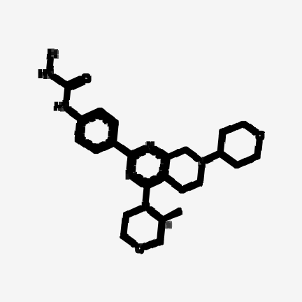 CCNC(=O)Nc1ccc(-c2nc3c(c(N4CCOC[C@@H]4C)n2)CCN(C2CCOCC2)C3)cc1